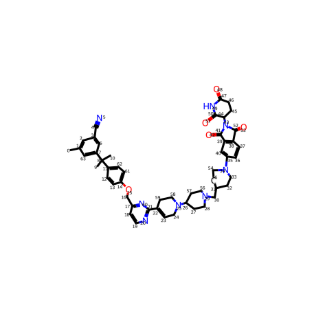 Cc1cc(C#N)cc(C(C)(C)c2ccc(OCc3ccnc(C4=CCN(C5CCN(CC6CCN(c7ccc8c(c7)C(=O)N(C7CCC(=O)NC7=O)C8=O)CC6)CC5)CC4)n3)cc2)c1